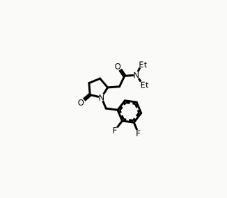 CCN(CC)C(=O)CC1CCC(=O)N1Cc1cccc(F)c1F